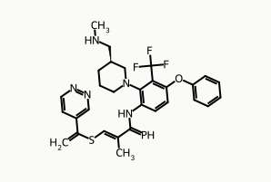 C=C(S/C=C(\C)C(=P)Nc1ccc(Oc2ccccc2)c(C(F)(F)F)c1N1CCC[C@@H](CNC)C1)c1ccnnc1